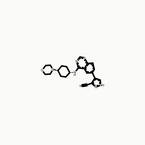 N#Cc1n[nH]cc1-c1ccc2ncnc(N[C@H]3CC[C@H](N4CCOCC4)CC3)c2c1